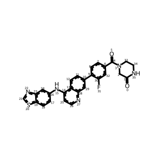 O=C1CN(C(=O)c2ccc(-c3ccc4c(Nc5ccc6scnc6c5)ccnc4c3)c(F)c2)CCN1